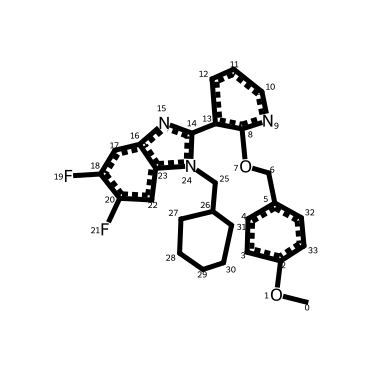 COc1ccc(COc2ncccc2-c2nc3cc(F)c(F)cc3n2CC2CCCCC2)cc1